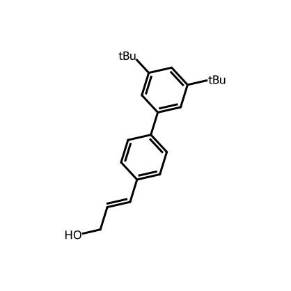 CC(C)(C)c1cc(-c2ccc(C=CCO)cc2)cc(C(C)(C)C)c1